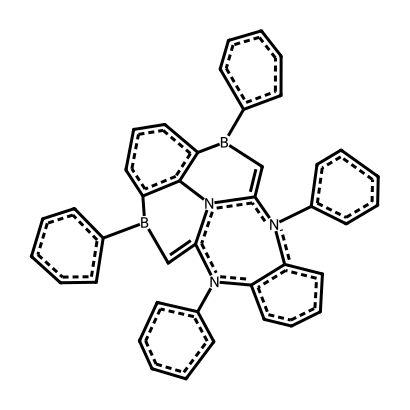 C1=c2n3c(n(-c4ccccc4)c4ccccc4n2-c2ccccc2)=CB(c2ccccc2)c2cccc(c2-3)B1c1ccccc1